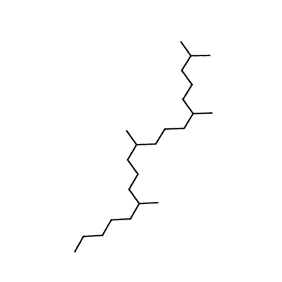 CCCCCC(C)CCCC(C)CCCC(C)CCCC(C)C